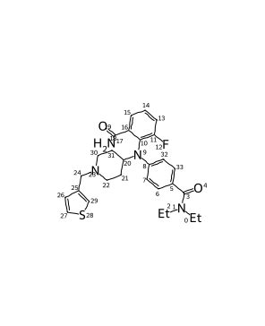 CCN(CC)C(=O)c1ccc(N(c2c(F)cccc2C(N)=O)C2CCN(Cc3ccsc3)CC2)cc1